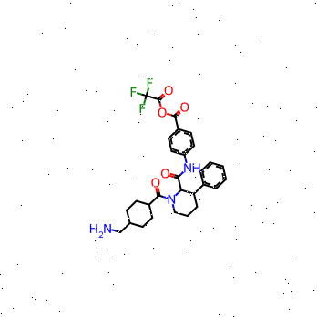 NCC1CCC(C(=O)N2CCCC(c3ccccc3)C2C(=O)Nc2ccc(C(=O)OC(=O)C(F)(F)F)cc2)CC1